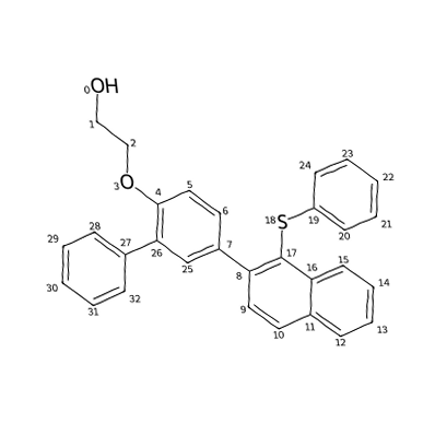 OCCOc1ccc(-c2ccc3ccccc3c2Sc2ccccc2)cc1-c1ccccc1